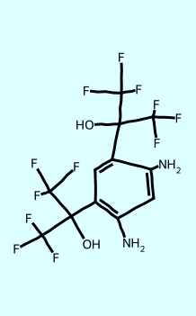 Nc1cc(N)c(C(O)(C(F)(F)F)C(F)(F)F)cc1C(O)(C(F)(F)F)C(F)(F)F